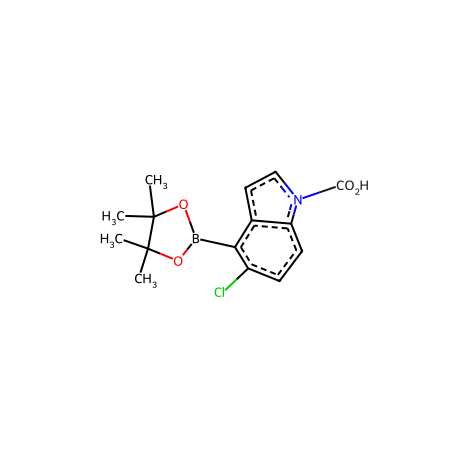 CC1(C)OB(c2c(Cl)ccc3c2ccn3C(=O)O)OC1(C)C